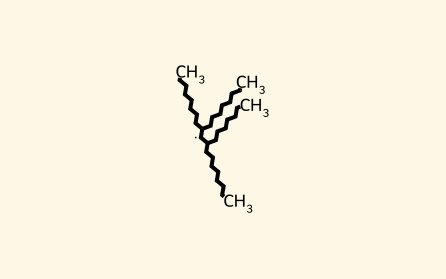 CCCCCCCCC([CH]C(CCCCCCCC)CCCCCCCC)CCCCCCC